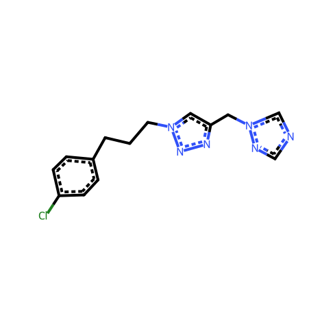 Clc1ccc(CCCn2cc(Cn3cncn3)nn2)cc1